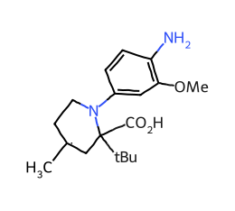 COc1cc(N2CC[C](C)CC2(C(=O)O)C(C)(C)C)ccc1N